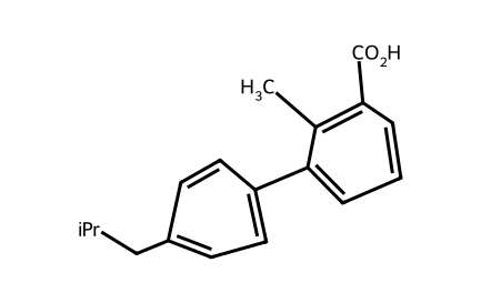 Cc1c(C(=O)O)cccc1-c1ccc(CC(C)C)cc1